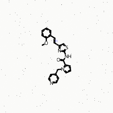 COc1ccccc1/C=C/c1csc(NC(=O)c2cccn2Cc2ccncc2)n1